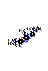 CCCC1=C(N)/C(=N\c2ccc(N(CC)C(C)C)cc2)C=C(Nc2ccc(N(CC)C(C)C)cc2)C1=O